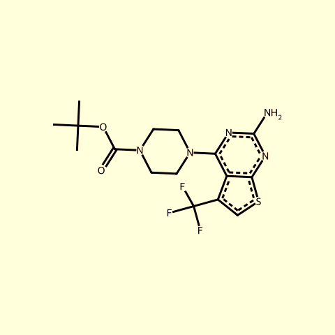 CC(C)(C)OC(=O)N1CCN(c2nc(N)nc3scc(C(F)(F)F)c23)CC1